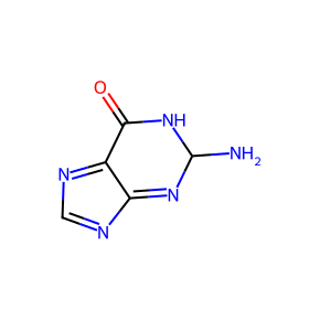 NC1N=C2N=CN=C2C(=O)N1